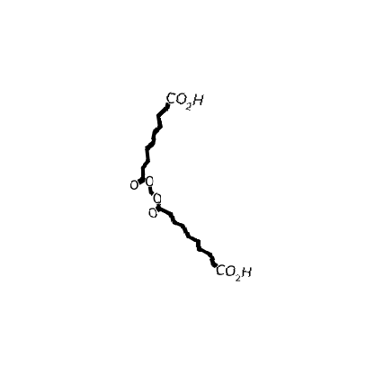 O=C(O)CCCCCCCCC(=O)OCOC(=O)CCCCCCCCC(=O)O